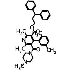 Cc1ccc(C)c(-c2c(C(=O)OCCC(c3ccccc3)c3ccccc3)c(C)nc(C)c2C(=O)N2CCN(C)CC2)c1